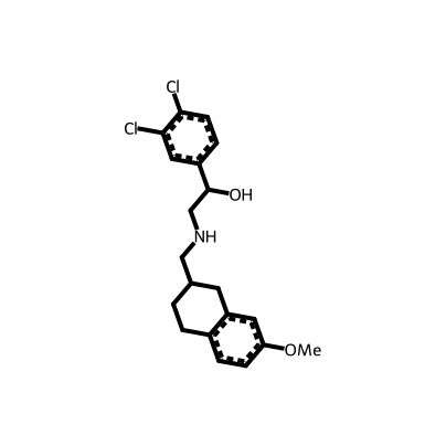 COc1ccc2c(c1)CC(CNCC(O)c1ccc(Cl)c(Cl)c1)CC2